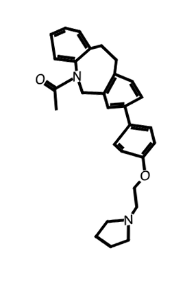 CC(=O)N1Cc2cc(-c3ccc(OCCN4CCCC4)cc3)ccc2CCc2ccccc21